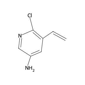 C=Cc1cc(N)cnc1Cl